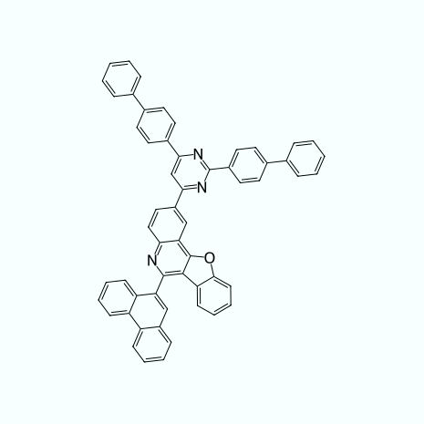 c1ccc(-c2ccc(-c3cc(-c4ccc5nc(-c6cc7ccccc7c7ccccc67)c6c7ccccc7oc6c5c4)nc(-c4ccc(-c5ccccc5)cc4)n3)cc2)cc1